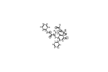 CCN(Cc1c(-c2ccccc2)cc(Cl)c(C(F)(F)F)c1C(C)OC(C)=O)C(=O)OCc1ccccc1